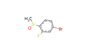 C[S+]([O-])c1ccc(Br)cc1F